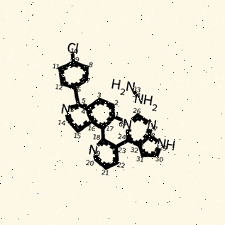 Cc1ccc2c(-c3ccc(Cl)cc3)nccc2c1-c1ncccc1-c1ncnc2[nH]ccc12.NN